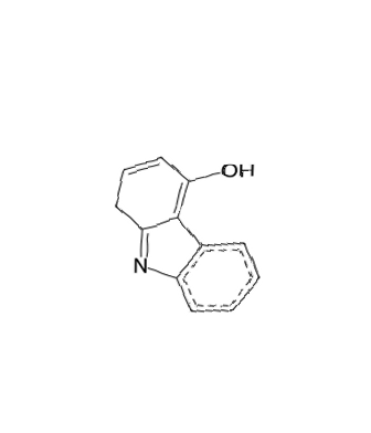 OC1=C2C(=Nc3ccccc32)CC=C1